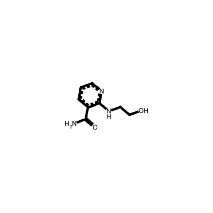 NC(=O)c1cccnc1NCCO